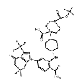 CC1(C)CC(=O)c2c(C(F)(F)F)nn(-c3ccc(C(N)=O)c(N[C@H]4CC[C@H]([N+]5(C(=O)O)CCN(C(=O)OC(C)(C)C)CC5)CC4)c3)c2C1